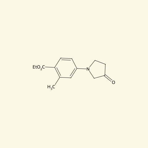 CCOC(=O)c1ccc(N2CCC(=O)C2)cc1C